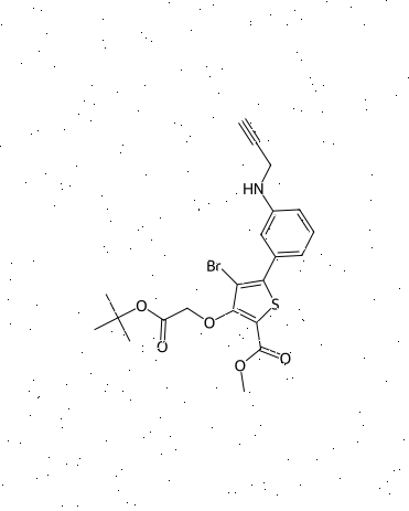 C#CCNc1cccc(-c2sc(C(=O)OC)c(OCC(=O)OC(C)(C)C)c2Br)c1